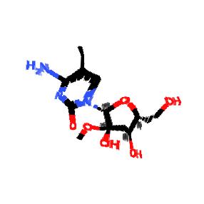 CO[C@@]1(O)[C@H](O)[C@@H](CO)O[C@H]1n1cc(C)c(N)nc1=O